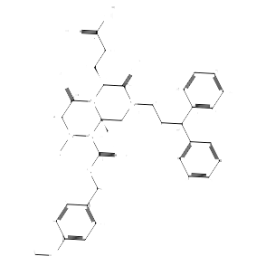 COc1ccc(CNC(=O)N2[C@H]3CN(CCC(c4ccccc4)c4ccccc4)C(=O)[C@H](CCC(=O)O)N3C(=O)CN2C)cc1